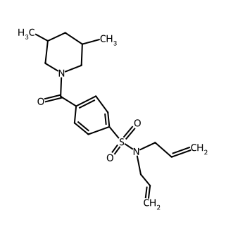 C=CCN(CC=C)S(=O)(=O)c1ccc(C(=O)N2CC(C)CC(C)C2)cc1